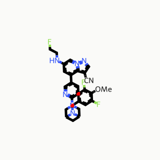 COc1c(F)cc(CN2C3CC2CN(c2ccc(-c4cc(NCCF)cn5ncc(C#N)c45)cn2)C3)cc1F